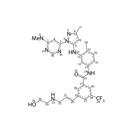 CNc1cc(-n2nc(C)cc2Nc2cc(NC(=O)c3cc(C=CCNCCO)cc(C(F)(F)F)c3)ccc2C)ncn1